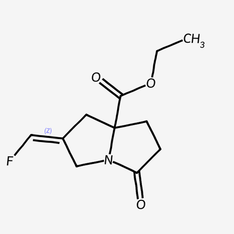 CCOC(=O)C12CCC(=O)N1C/C(=C\F)C2